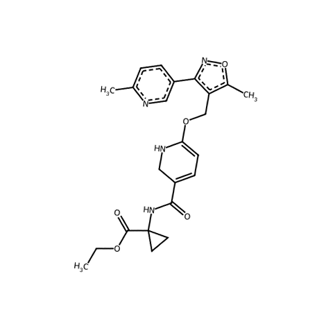 CCOC(=O)C1(NC(=O)C2=CC=C(OCc3c(-c4ccc(C)nc4)noc3C)NC2)CC1